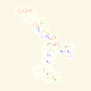 COC[C@]1(O)CC[C@H](COc2ncc(SNC(=O)c3ccc(N4CCN(CC5=C(c6ccc(Cl)cc6)CC(C)(C)CC5)CC4)cc3Oc3cnc4[nH]ccc4c3)cc2Cl)CC1